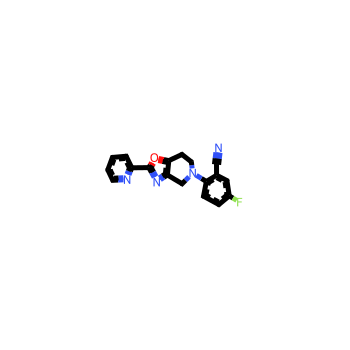 N#Cc1cc(F)ccc1N1CCc2oc(-c3ccccn3)nc2C1